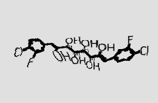 OC(=Cc1ccc(Cl)c(F)c1)[C@@H](O)[C@@H](O)[C@H](O)[C@@H](O)C(O)=Cc1ccc(Cl)c(F)c1